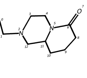 CCN1CCN2C(=O)CCCC2C1